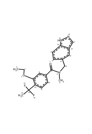 CCOc1cc(C(=O)N(C)Cc2ccc3[nH]ncc3c2)ccc1C(C)(F)F